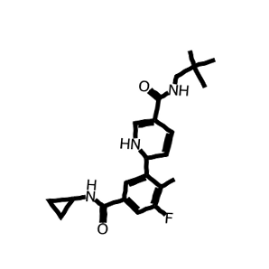 Cc1c(F)cc(C(=O)NC2CC2)cc1C1C=CC(C(=O)NCC(C)(C)C)=CN1